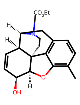 CCOC(=O)N1CC[C@]23c4c5ccc(C)c4O[C@H]2[C@@H](O)C=C[C@H]3[C@H]1C5